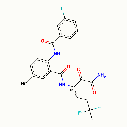 CC(F)(F)CC[C@H](NC(=O)c1cc(C#N)ccc1NC(=O)c1cccc(F)c1)C(=O)C(N)=O